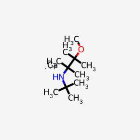 COC(C)(C)C(C)(C)NC(C)(C)C.[Ga]